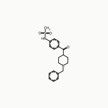 CS(=O)(=O)Nc1ccc(C(=O)C2CCN(Cc3ccccc3)CC2)cc1